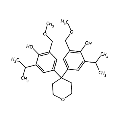 COCc1cc(C2(c3cc(COC)c(O)c(C(C)C)c3)CCOCC2)cc(C(C)C)c1O